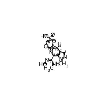 CN/C(=N\O)[C@@H]1c2c(cnn2C)[C@@H]2CN1C(=O)N2OS(=O)(=O)O